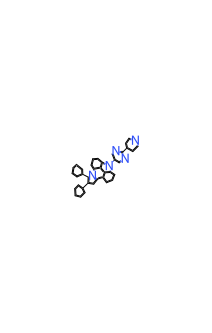 c1ccc(-c2cc3c4cccc5c4c4c(cccc4n3c2-c2ccccc2)n5-c2cnc(-c3ccncc3)nc2)cc1